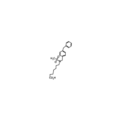 CS(=O)(=O)N(CCCCCCC(=O)O)Cc1ccc(Cc2ccccc2)cc1